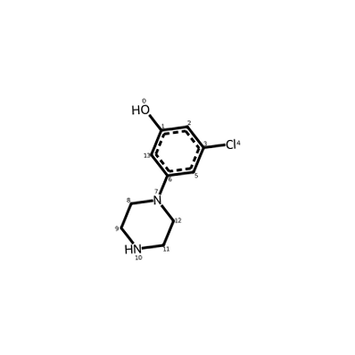 Oc1cc(Cl)cc(N2CCNCC2)c1